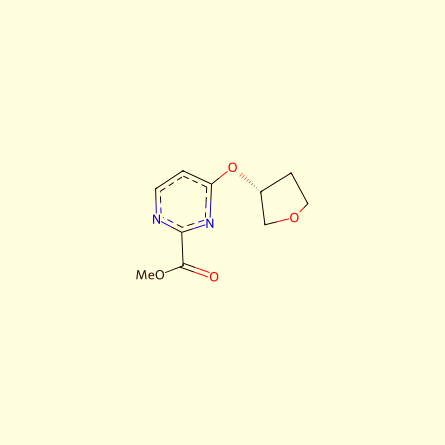 COC(=O)c1nccc(O[C@@H]2CCOC2)n1